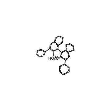 O=C(O)c1c(-c2ccccc2)cc2ccccc2c1-c1c(C(=O)O)c(-c2ccccc2)cc2ccccc12